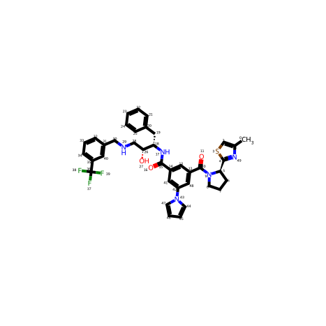 Cc1csc([C@H]2CCCN2C(=O)c2cc(C(=O)N[C@@H](Cc3ccccc3)[C@H](O)CNCc3cccc(C(F)(F)F)c3)cc(-n3cccc3)c2)n1